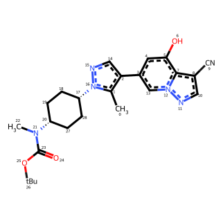 Cc1c(-c2cc(O)c3c(C#N)cnn3c2)cnn1[C@H]1CC[C@@H](N(C)C(=O)OC(C)(C)C)CC1